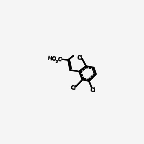 CC(=Cc1c(Cl)ccc(Cl)c1Cl)C(=O)O